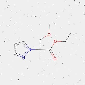 CCOC(=O)C(C)(COC)n1cccn1